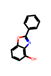 Oc1cccc2oc(-c3ccccc3)nc12